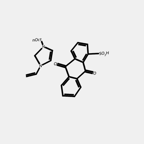 C=CN1C=CN(CCCCCCCC)C1.O=C1c2ccccc2C(=O)c2c1cccc2S(=O)(=O)O